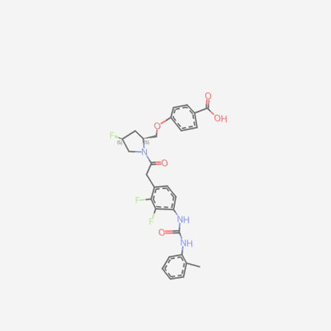 Cc1ccccc1NC(=O)Nc1ccc(CC(=O)N2C[C@@H](F)C[C@H]2COc2ccc(C(=O)O)cc2)c(F)c1F